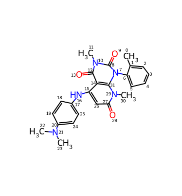 Cc1ccccc1-n1c(=O)n(C)c(=O)c2c(Nc3ccc(N(C)C)cc3)cc(=O)n(C)c21